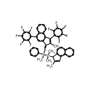 CC1=Cc2c(ccc3ccccc23)[CH]1[Zr]([CH3])([CH3])[Si](C)(/B=C1\C(C)=C(c2c(F)c(F)c(F)c(F)c2F)c2c1cc(-c1c(F)c(F)c(F)c(F)c1F)c1ccccc21)c1ccccc1